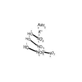 O=[N+]([O-])O.O=[N+]([O-])O.O=[N+]([O-])O.O=[N+]([O-])[O-].[AsH3].[K+]